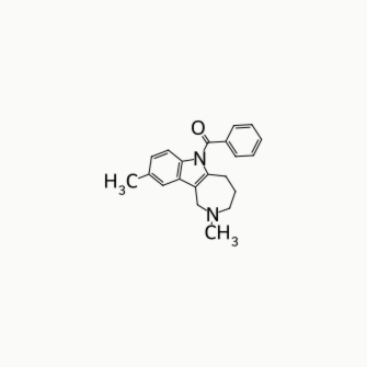 Cc1ccc2c(c1)c1c(n2C(=O)c2ccccc2)CCCN(C)C1